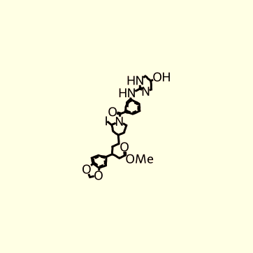 COC(=O)CC(CCC1CCN(C(=O)c2cccc(NC3=NCC(O)CN3)c2)C(I)C1)c1ccc2c(c1)OCO2